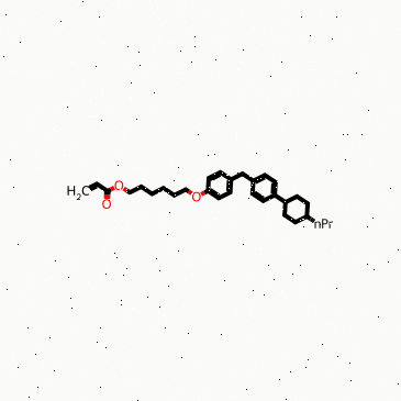 C=CC(=O)OCCCCCCOc1ccc(Cc2ccc(C3CCC(CCC)CC3)cc2)cc1